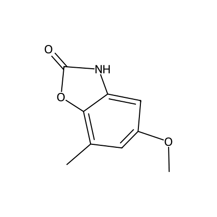 COc1cc(C)c2oc(=O)[nH]c2c1